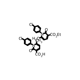 CCOC(=O)c1ccc(C)n(-c2ccc(Cl)cc2)c1=O.Cc1ccc(C(=O)O)c(=O)n1-c1ccc(Cl)cc1